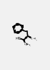 CC(O)C(C)Cc1ccccc1